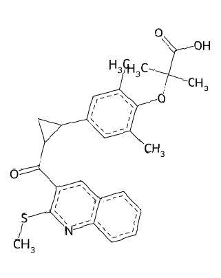 CSc1nc2ccccc2cc1C(=O)C1CC1c1cc(C)c(OC(C)(C)C(=O)O)c(C)c1